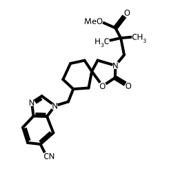 COC(=O)C(C)(C)CN1CC2(CCCC(Cn3cnc4ccc(C#N)cc43)C2)OC1=O